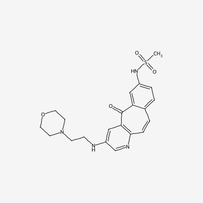 CS(=O)(=O)Nc1ccc2ccc3ncc(NCCN4CCOCC4)cc3c(=O)c2c1